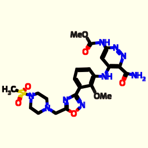 COC(=O)Nc1cc(Nc2cccc(-c3noc(CN4CCN(S(C)(=O)=O)CC4)n3)c2OC)c(C(N)=O)nn1